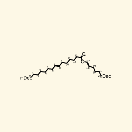 CCCCCCCCCCCCCCCCCCCCCCCC(=O)OCCCCCCCCCCCCCCC